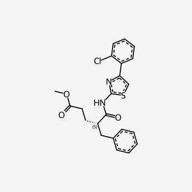 COC(=O)CC[C@@H](Cc1ccccc1)C(=O)Nc1nc(-c2ccccc2Cl)cs1